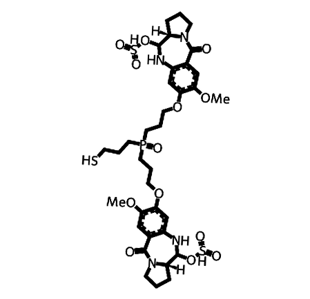 COc1cc2c(cc1OCCCP(=O)(CCCS)CCCOc1cc3c(cc1OC)C(=O)N1CCC[C@H]1C(O[SH](=O)=O)N3)NC(O[SH](=O)=O)[C@@H]1CCCN1C2=O